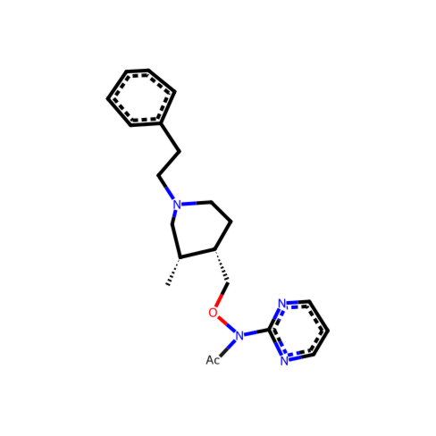 CC(=O)N(OC[C@H]1CCN(CCc2ccccc2)C[C@H]1C)c1ncccn1